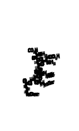 CCCCCCCCCCCCCC(=O)OCC(COP(=O)(O)OCC(COC(=O)C(N)CC(=O)O)OC(=O)C(N)CC(=O)O)OC(=O)CCCCCCCCCCCCC.Cl.Cl